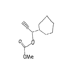 C#CC(OC(=O)OC)C1CCCCC1